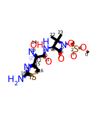 COS(=O)ON1C(=O)[C@@H](NC(=O)/C(=N\O)c2csc(N)n2)C1(C)C